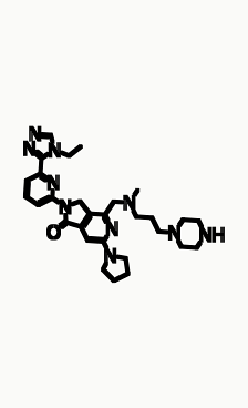 CCn1cnnc1-c1cccc(N2Cc3c(cc(N4CCCC4)nc3CN(C)CCCN3CCNCC3)C2=O)n1